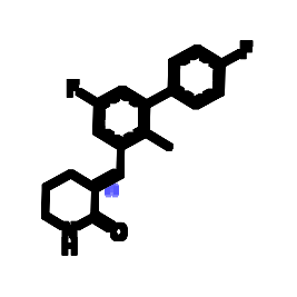 Cc1c(/C=C2\CCCNC2=O)cc(F)cc1-c1ccc(F)cc1